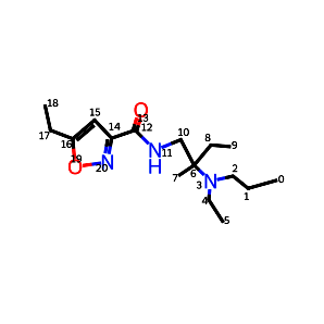 CCCN(CC)C(C)(CC)CNC(=O)c1cc(CC)on1